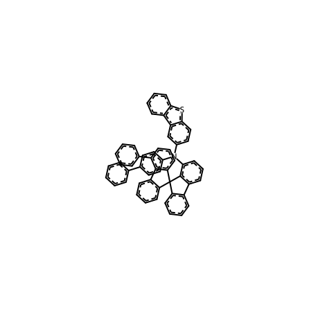 c1ccc(-c2ccc(N(c3ccc4sc5ccccc5c4c3)c3cccc4c3C3(c5ccccc5-4)c4ccccc4-c4c(-c5ccccc5)cccc43)cc2)cc1